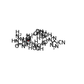 N#Cc1ncnc2c1ncn2[C@@H]1O[C@@H]2CO[PH](O)(O)O[C@@H]3[C@H](O)[C@@H](CO[PH](O)(O)O[C@H]2[C@H]1O)O[C@H]3n1cnc2c(=O)[nH]c(N)nc21